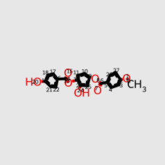 COc1ccc(C(=O)Oc2ccc(OC(=O)c3ccc(O)cc3)c(O)c2)cc1